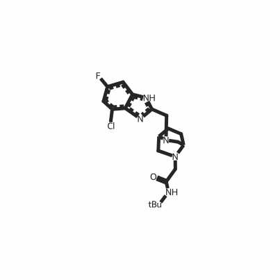 CC(C)(C)NC(=O)CN1CC2CCC1CN2Cc1nc2c(Cl)cc(F)cc2[nH]1